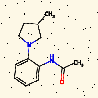 CC(=O)Nc1ccccc1N1CCC(C)C1